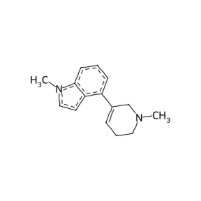 CN1CCC=C(c2cccc3c2ccn3C)C1